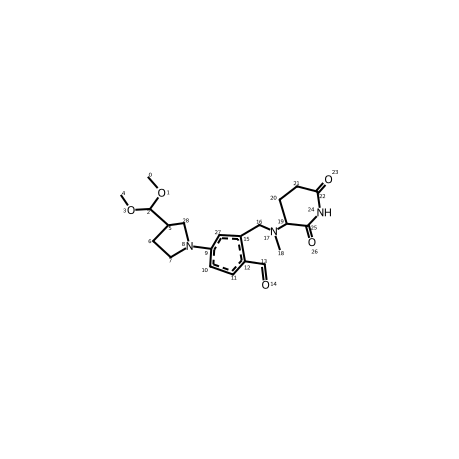 COC(OC)C1CCN(c2ccc(C=O)c(CN(C)C3CCC(=O)NC3=O)c2)C1